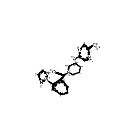 O=C(c1ccccc1-n1nccn1)N1CCC[C@@H](Oc2cnc(C(F)(F)F)cn2)C1